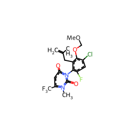 C=C(C)Cc1c(OCOC)c(Cl)cc(F)c1-n1c(=O)cc(C(F)(F)F)n(C)c1=O